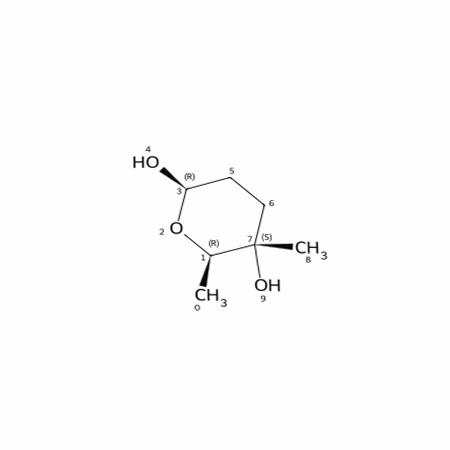 C[C@H]1O[C@@H](O)CC[C@]1(C)O